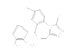 COc1cccc([C@H]2OCc3nnc(C(C)C)n3-c3ccc(Cl)cc32)c1OC